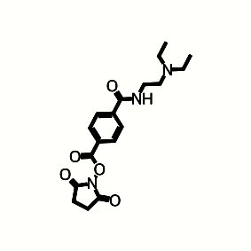 CCN(CC)CCNC(=O)c1ccc(C(=O)ON2C(=O)CCC2=O)cc1